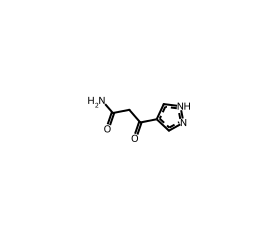 NC(=O)CC(=O)c1cn[nH]c1